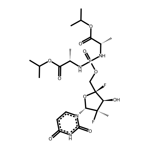 CC(C)OC(=O)[C@H](C)NP(=O)(N[C@@H](C)C(=O)OC(C)C)OC[C@@]1(F)O[C@@H](n2ccc(=O)[nH]c2=O)[C@](C)(F)[C@@H]1O